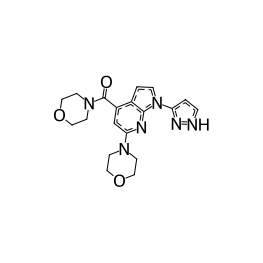 O=C(c1cc(N2CCOCC2)nc2c1ccn2-c1cc[nH]n1)N1CCOCC1